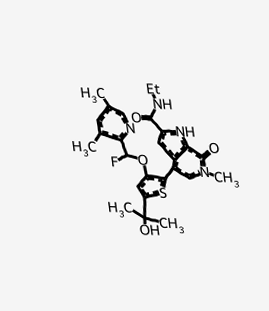 CCNC(=O)c1cc2c(-c3sc(C(C)(C)O)cc3OC(F)c3ncc(C)cc3C)cn(C)c(=O)c2[nH]1